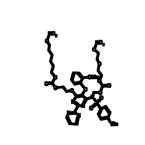 COc1ccccc1Oc1c(OCCOC(=O)OCCCCCCO[N+](=O)[O-])nc(-c2ncccn2)nc1N(COC(=O)OCCOCCO[N+](=O)[O-])S(=O)(=O)c1ccc(C(C)(C)C)cc1